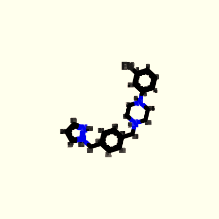 CCc1cccc(N2CCN(Cc3ccc(Cn4cccn4)cc3)CC2)c1